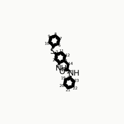 Nc1cc(Sc2ccccc2)ccc1CC(=O)Nc1ccccc1